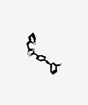 Fc1cccc(C#Cc2ccc(-c3noc(Cc4ccco4)n3)cc2)c1